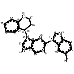 Fc1ccc2ncn(-c3ncc4ncn([C@@H]5CCOc6ccccc65)c4n3)c2c1